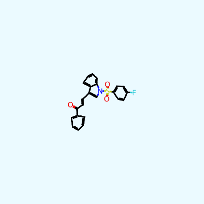 O=C(/C=C/c1cn(S(=O)(=O)c2ccc(F)cc2)c2ccccc12)c1ccccc1